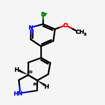 COc1cc(C2=CC[C@H]3CNC[C@H]3C2)cnc1Br